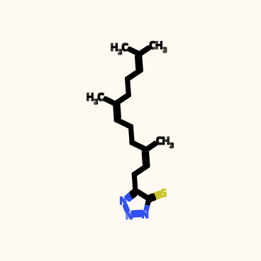 CC(C)=CCCC(C)=CCCC(C)=CCC1=NN=NC1=S